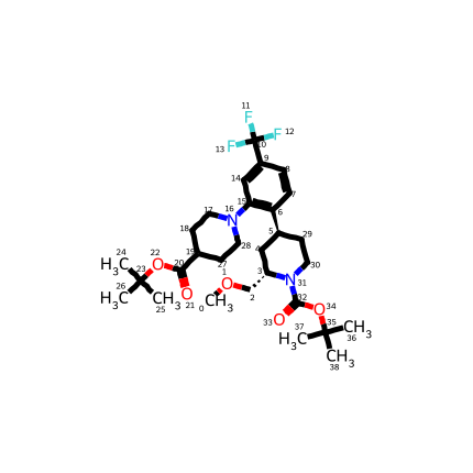 COC[C@@H]1C[C@@H](c2ccc(C(F)(F)F)cc2N2CCC(C(=O)OC(C)(C)C)CC2)CCN1C(=O)OC(C)(C)C